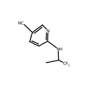 CC(Nc1ccc(C#N)cn1)C(F)(F)F